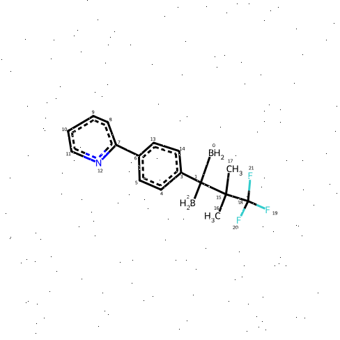 BC(B)(c1ccc(-c2ccccn2)cc1)C(C)(C)C(F)(F)F